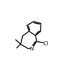 CC1(C)CN=C(Cl)c2ccccc2C1